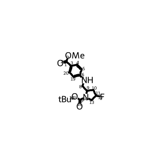 COC(=O)c1ccc(NCC2CC(F)CN2C(=O)OC(C)(C)C)cc1